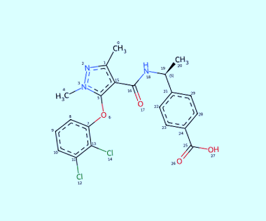 Cc1nn(C)c(Oc2cccc(Cl)c2Cl)c1C(=O)N[C@@H](C)c1ccc(C(=O)O)cc1